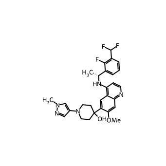 COc1cc2nccc(N[C@H](C)c3cccc(C(F)F)c3F)c2cc1C1(O)CCN(c2cnn(C)c2)CC1